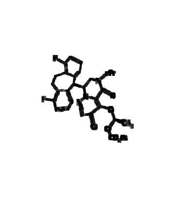 CCCN1C[C@H](C2c3cccc(F)c3CCc3c(F)cccc32)n2ncc(=O)c(O[C@@H](C)OC(=O)OCC)c2C1=O